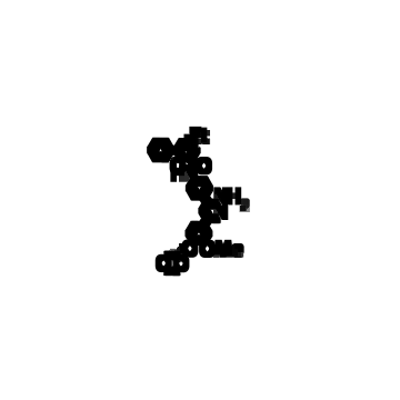 CCn1cc(C(=O)Nc2ccc(-c3cc(-c4ccc(OC[C@H]5COCCO5)c(OC)c4)cnc3N)cc2)c(=O)c(-c2ccccc2)c1